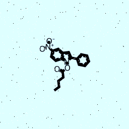 CCCCC(=O)On1c(-c2ccccc2)cc2cc([N+](=O)[O-])ccc21